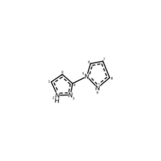 [c]1c[nH]nc1-n1cccn1